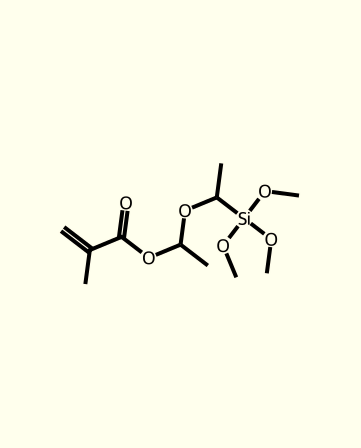 C=C(C)C(=O)OC(C)OC(C)[Si](OC)(OC)OC